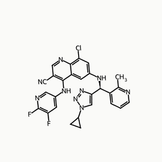 Cc1ncccc1[C@H](Nc1cc(Cl)c2ncc(C#N)c(Nc3cnc(F)c(F)c3)c2c1)c1cn(C2CC2)nn1